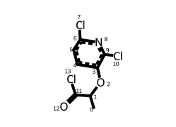 CC(Oc1ccc(Cl)nc1Cl)C(=O)Cl